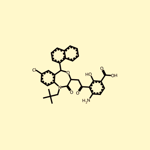 CC(C)(C)CN1C(=O)C(CC(=O)c2c(N)ccc(C(=O)O)c2O)OC(c2cccc3ccccc23)c2cc(Cl)ccc21